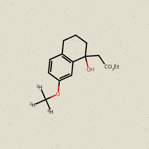 [2H]C([2H])([2H])Oc1ccc2c(c1)C(O)(CC(=O)OCC)CCC2